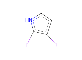 Ic1cc[nH]c1I